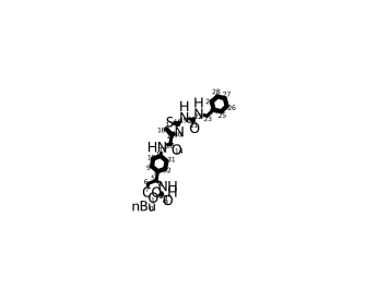 CCCCOC(=O)NC(CC(=O)O)c1ccc(NC(=O)c2csc(NC(=O)NCc3ccccc3)n2)cc1